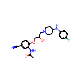 CC(=O)Nc1cc(C#N)ccc1OCC(O)CN1CCC(Nc2ccc(F)cc2)CC1